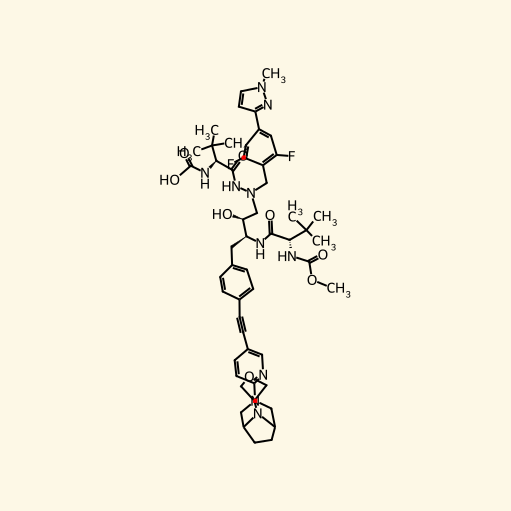 COC(=O)N[C@H](C(=O)N[C@@H](Cc1ccc(C#Cc2ccc(N3CC4CCC(C3)N4C3COC3)nc2)cc1)[C@@H](O)CN(Cc1c(F)cc(-c2ccn(C)n2)cc1F)NC(=O)[C@@H](NC(=O)O)C(C)(C)C)C(C)(C)C